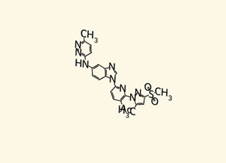 CC(=O)c1ccc(-n2cnc3cc(Nc4ccc(C)nn4)ccc32)nc1-n1nc(S(C)(=O)=O)cc1C